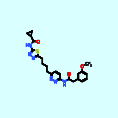 O=C(Cc1cccc(OC(F)(F)F)c1)Nc1ccc(CCCCc2nnc(NC(=O)C3CC3)s2)nn1